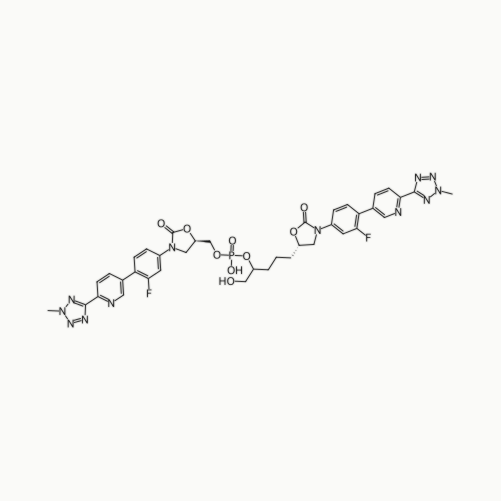 Cn1nnc(-c2ccc(-c3ccc(N4C[C@H](CCCC(CO)OP(=O)(O)OC[C@H]5CN(c6ccc(-c7ccc(-c8nnn(C)n8)nc7)c(F)c6)C(=O)O5)OC4=O)cc3F)cn2)n1